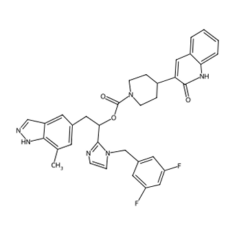 Cc1cc(CC(OC(=O)N2CCC(c3cc4ccccc4[nH]c3=O)CC2)c2nccn2Cc2cc(F)cc(F)c2)cc2cn[nH]c12